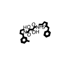 Cc1cccc(C2CCCN2C(=O)[C@H](O)[C@@H](O)C(=O)NCC2CC=C(Cc3ccccc3)S2)c1